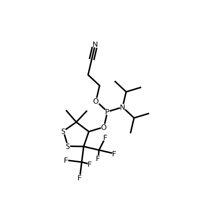 CC(C)N(C(C)C)P(OCCC#N)OC1C(C)(C)SSC1(C(F)(F)F)C(F)(F)F